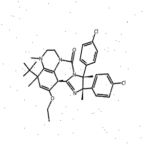 CCOC1=CC(C)(C(C)(C)C)C2=C3N(CCN2C)C(=O)N2C(=N[C@@](C)(c4ccc(Cl)cc4)[C@@]2(C)c2ccc(Cl)cc2)C13C